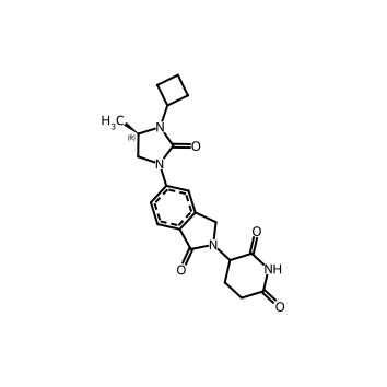 C[C@@H]1CN(c2ccc3c(c2)CN(C2CCC(=O)NC2=O)C3=O)C(=O)N1C1CCC1